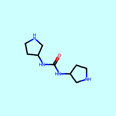 O=C(NC1CCNC1)NC1CCNC1